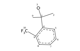 CC(C)([O])c1ccccc1C(F)(F)F